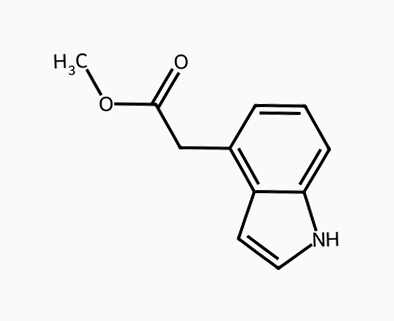 COC(=O)Cc1cccc2[nH]ccc12